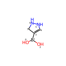 OB(O)C1=CNNC1